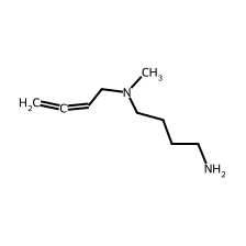 C=C=CCN(C)CCCCN